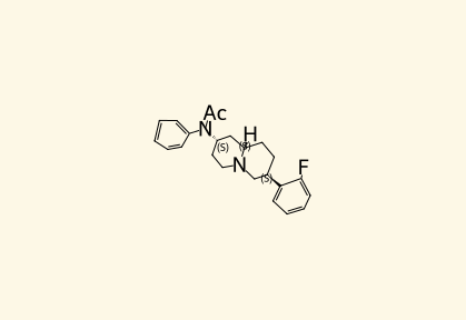 CC(=O)N(c1ccccc1)[C@H]1CCN2C[C@H](c3ccccc3F)CC[C@H]2C1